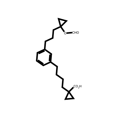 O=COC1(CCCc2cccc(CCCCC3(C(=O)O)CC3)c2)CC1